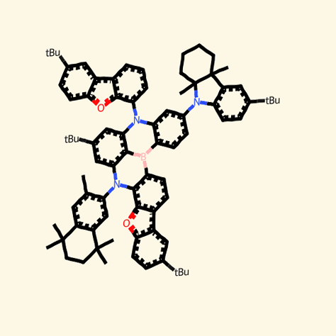 Cc1cc2c(cc1N1c3cc(C(C)(C)C)cc4c3B(c3ccc(N5c6ccc(C(C)(C)C)cc6C6(C)CCCCC56C)cc3N4c3cccc4c3oc3ccc(C(C)(C)C)cc34)c3ccc4c(oc5ccc(C(C)(C)C)cc54)c31)C(C)(C)CCC2(C)C